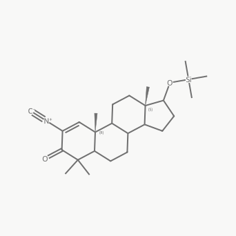 [C-]#[N+]C1=C[C@]2(C)C3CC[C@]4(C)C(O[Si](C)(C)C)CCC4C3CCC2C(C)(C)C1=O